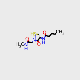 CCCCC(=O)N[C@@H](CS)C(=O)NCC(=O)NC